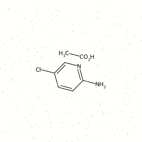 CC(=O)O.Nc1ccc(Cl)cn1